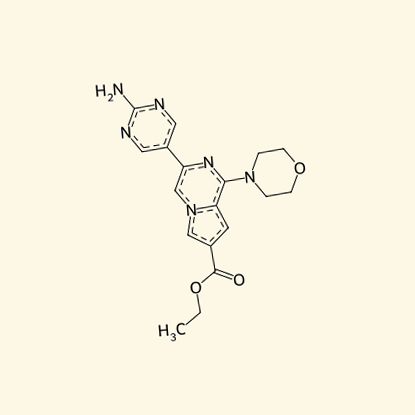 CCOC(=O)c1cc2c(N3CCOCC3)nc(-c3cnc(N)nc3)cn2c1